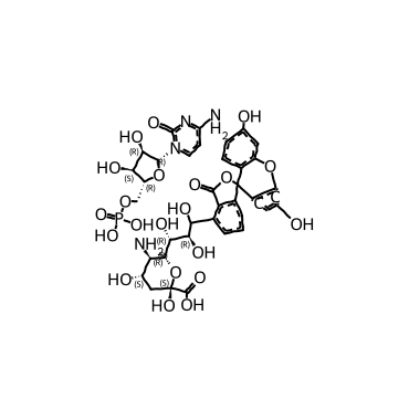 N[C@H]1[C@H]([C@H](O)[C@H](O)C(O)c2cccc3c2C(=O)OC32c3ccc(O)cc3Oc3cc(O)ccc32)O[C@](O)(C(=O)O)C[C@@H]1O.Nc1ccn([C@@H]2O[C@H](COP(=O)(O)O)[C@@H](O)[C@H]2O)c(=O)n1